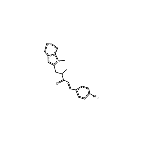 CN(Cc1cc2ccccc2n1C)C(=O)C=Cc1ccc(N)cc1